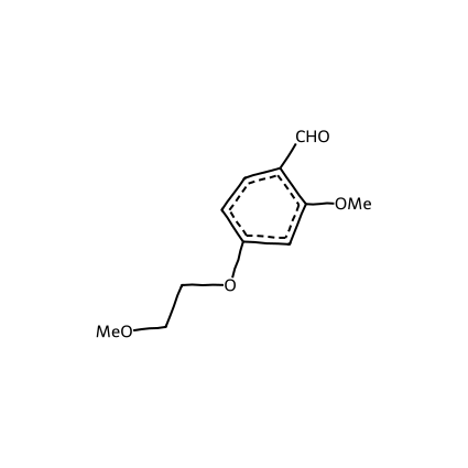 [CH2]OCCOc1ccc(C=O)c(OC)c1